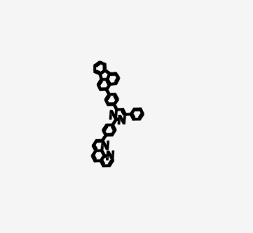 c1ccc(-c2cc(-c3ccc(-c4ccc5c6c(cccc46)-c4ccccc4-5)cc3)nc(-c3ccc(-c4ccc5ccc6cccnc6c5n4)cc3)n2)cc1